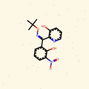 CC(C)(C)ON=C(c1cccc([N+](=O)[O-])c1O)c1ncccc1O